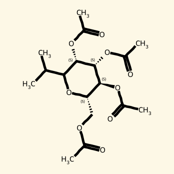 CC(=O)OC[C@@H]1OC(C(C)C)[C@H](OC(C)=O)[C@H](OC(C)=O)[C@H]1OC(C)=O